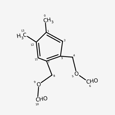 Cc1cc(COC=O)c(COC=O)cc1C